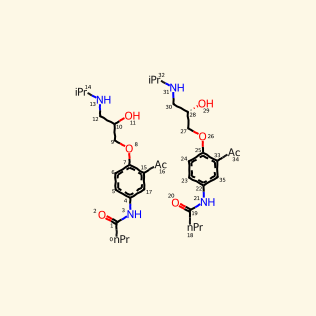 CCCC(=O)Nc1ccc(OCC(O)CNC(C)C)c(C(C)=O)c1.CCCC(=O)Nc1ccc(OC[C@@H](O)CNC(C)C)c(C(C)=O)c1